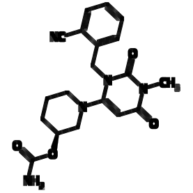 Cn1c(=O)cc(N2CCC[C@H](OC(N)=O)C2)n(Cc2ccccc2C#N)c1=O